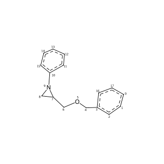 c1ccc(COCC2CN2c2ccccc2)cc1